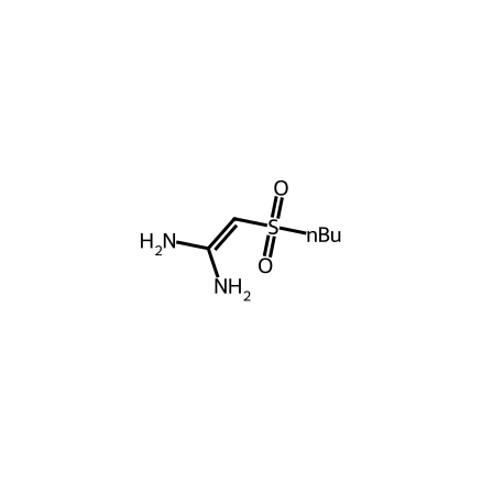 CCCCS(=O)(=O)C=C(N)N